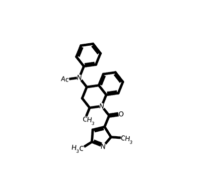 CC(=O)N(c1ccccc1)C1CC(C)N(C(=O)C2=CC(C)=NC2C)c2ccccc21